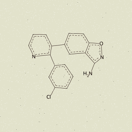 Nc1noc2ccc(-c3cccnc3-c3cccc(Cl)c3)cc12